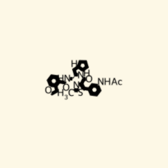 CC(=O)Nc1cccc(-c2sc(C)nc2C(=O)N2[C@H](CNC(=O)c3cccc4c3CCO4)C[C@@H]3CCC[C@@H]32)c1